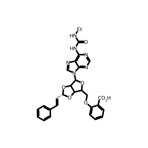 CCNC(=O)Nc1ncnc2c1ncn2C1OC(COc2ccccc2C(=O)O)C2O[C@H](/C=C/c3ccccc3)OC21